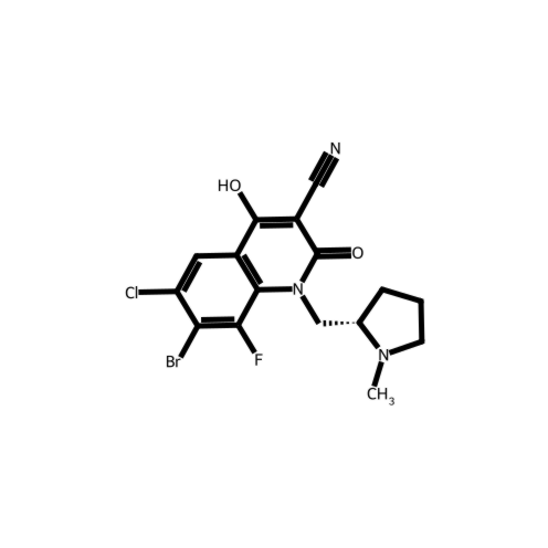 CN1CCC[C@H]1Cn1c(=O)c(C#N)c(O)c2cc(Cl)c(Br)c(F)c21